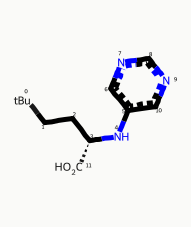 CC(C)(C)CC[C@H](Nc1cncnc1)C(=O)O